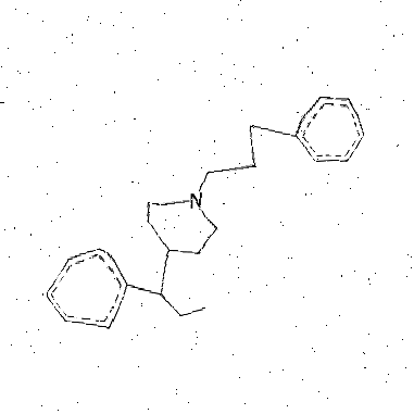 CCC(c1ccccc1)C1CCN(CCCc2ccccc2)CC1